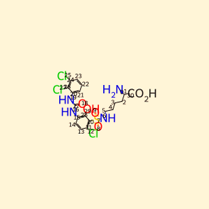 NC(CCCCNS(=O)(=O)c1c(Cl)ccc(NC(=O)Nc2cccc(Cl)c2Cl)c1O)C(=O)O